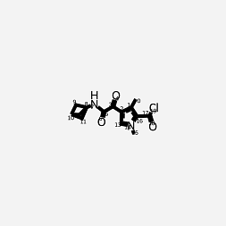 Cc1c(C(=O)C(=O)NC23CC(C2)C3)cn(C)c1C(=O)Cl